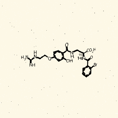 N=C(N)NCCOc1ccc(C(=O)NC[C@H](NC(=O)c2ccccc2Br)C(=O)O)c(O)c1